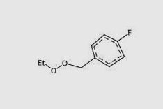 CCOOCc1ccc(F)cc1